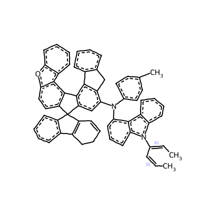 C/C=C\C(=C/C)n1c2ccccc2c2c(N(c3ccc(C)cc3)c3cc4c(c5c3Cc3ccccc3-5)-c3c(ccc5oc6ccccc6c35)C43C4=C(CCC=C4)c4ccccc43)cccc21